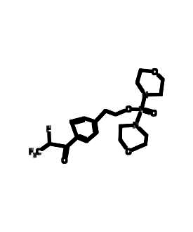 O=C(c1ccc(CCOP(=O)(N2CCOCC2)N2CCOCC2)cc1)C(F)C(F)(F)F